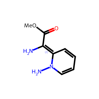 COC(=O)/C(N)=C1\C=CC=CN1N